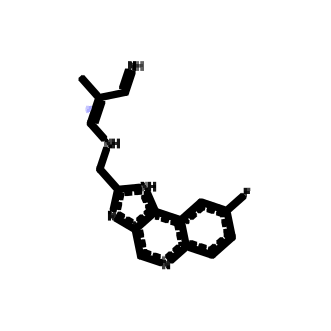 C/C(C=N)=C/NCc1nc2cnc3ccc(F)cc3c2[nH]1